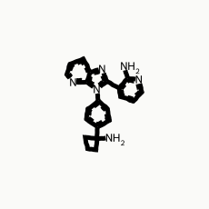 Nc1ncccc1-c1nc2cccnc2n1-c1ccc(C2(N)CCC2)cc1